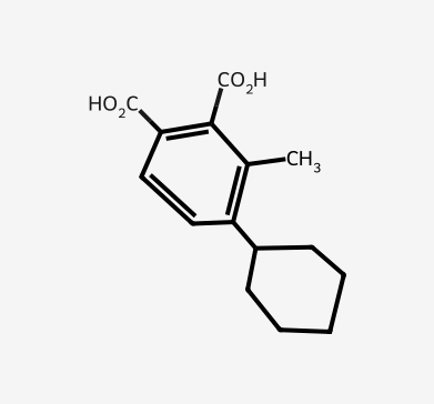 Cc1c(C2CCCCC2)ccc(C(=O)O)c1C(=O)O